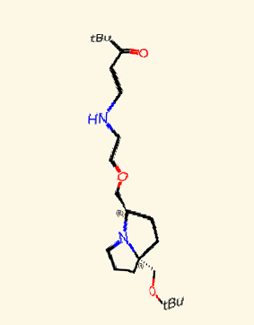 CC(C)(C)OC[C@]12CCCN1[C@@H](COCCNCCC(=O)C(C)(C)C)CC2